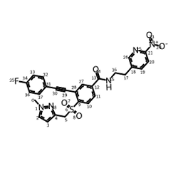 Cn1ccc(CS(=O)(=O)c2ccc(C(=O)NCCc3ccc([N+](=O)[O-])nc3)cc2C#Cc2ccc(F)cc2)n1